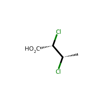 C[C@H](Cl)[C@@H](Cl)C(=O)O